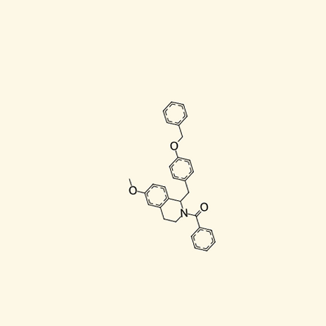 COc1ccc2c(c1)CCN(C(=O)c1ccccc1)C2Cc1ccc(OCc2ccccc2)cc1